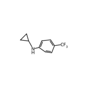 FC(F)(F)c1ccc(NC2CC2)cc1